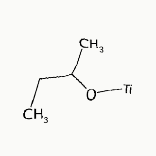 CCC(C)[O][Ti]